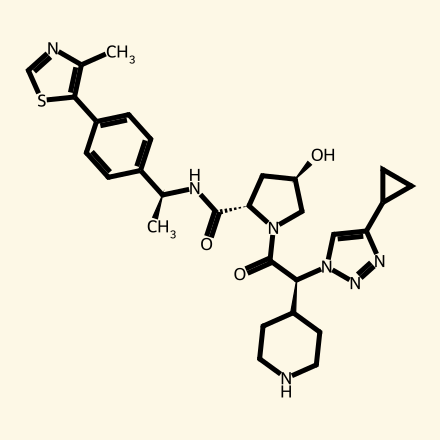 Cc1ncsc1-c1ccc([C@H](C)NC(=O)[C@@H]2C[C@@H](O)CN2C(=O)[C@H](C2CCNCC2)n2cc(C3CC3)nn2)cc1